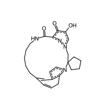 O=C1NCCCCCC2=Cc3ccn(c3CC=C2)C2(CCCC2)Cn2cc(O)c(=O)c1n2